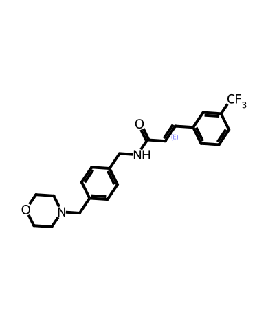 O=C(/C=C/c1cccc(C(F)(F)F)c1)NCc1ccc(CN2CCOCC2)cc1